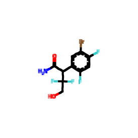 NC(=O)[C](c1cc(Br)c(F)cc1F)C(F)(F)CO